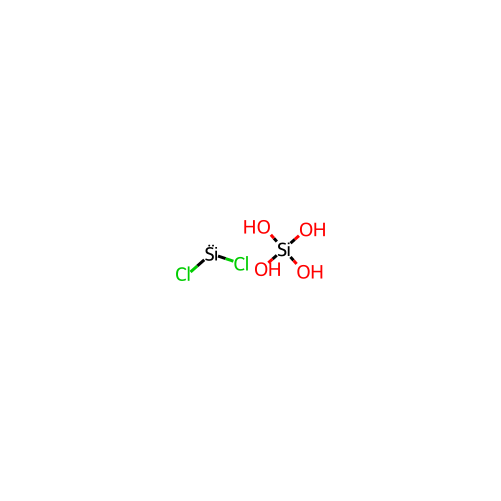 Cl[Si]Cl.O[Si](O)(O)O